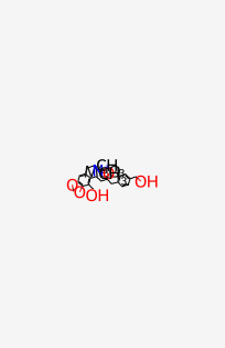 COc1cc(CO)ccc1CC(=O)CC1c2c(cc3c(c2CO)OCO3)CC[N+]1(C)C